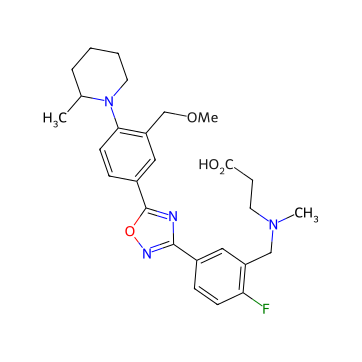 COCc1cc(-c2nc(-c3ccc(F)c(CN(C)CCC(=O)O)c3)no2)ccc1N1CCCCC1C